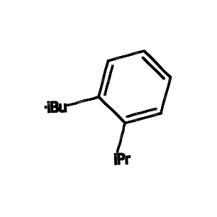 CC[C](C)c1ccccc1C(C)C